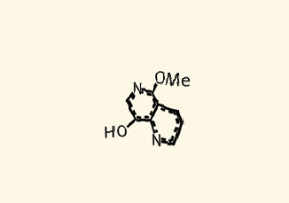 COc1ncc(O)c2ncccc12